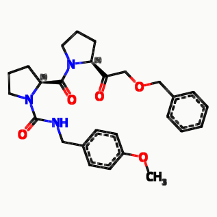 COc1ccc(CNC(=O)N2CCC[C@H]2C(=O)N2CCC[C@H]2C(=O)COCc2ccccc2)cc1